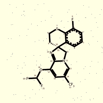 Fc1cccc2c1SCC[C@@]21CN2C=C(C(F)(F)F)C=C(OC(F)F)C2=N1